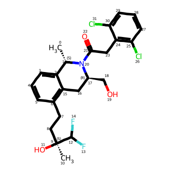 C[C@H]1c2cccc(CC[C@](C)(O)C(F)F)c2C[C@H](CO)N1C(=O)Cc1c(Cl)cccc1Cl